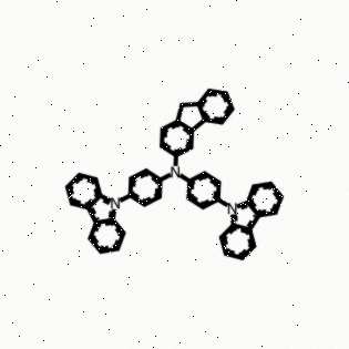 c1ccc2c(c1)Cc1ccc(N(c3ccc(-n4c5ccccc5c5ccccc54)cc3)c3ccc(-n4c5ccccc5c5ccccc54)cc3)cc1-2